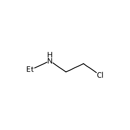 CCNCCCl